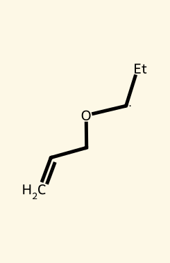 C=CCO[CH]CC